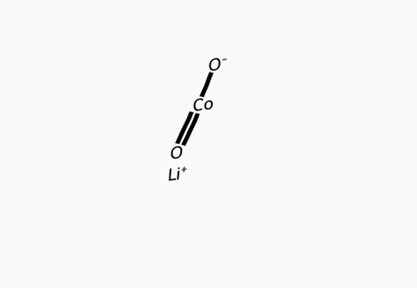 [Li+].[O]=[Co][O-]